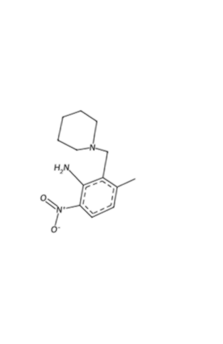 Cc1ccc([N+](=O)[O-])c(N)c1CN1CCCCC1